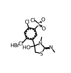 Br.CN=C1SCC(O)(c2cc(S(=O)(=O)Cl)c(Cl)cc2Cl)N1C